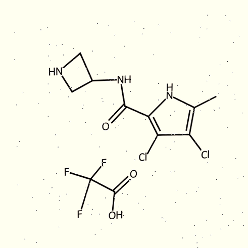 Cc1[nH]c(C(=O)NC2CNC2)c(Cl)c1Cl.O=C(O)C(F)(F)F